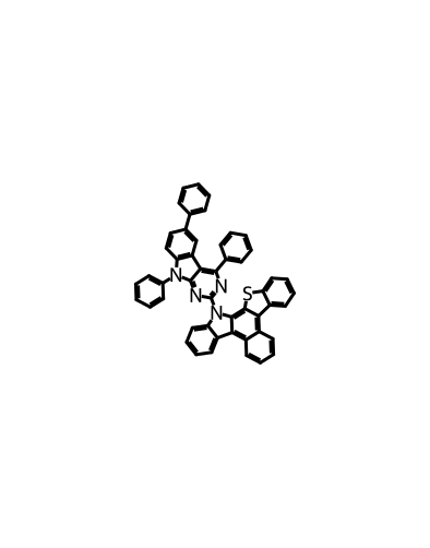 c1ccc(-c2ccc3c(c2)c2c(-c4ccccc4)nc(-n4c5ccccc5c5c6ccccc6c6c7ccccc7sc6c54)nc2n3-c2ccccc2)cc1